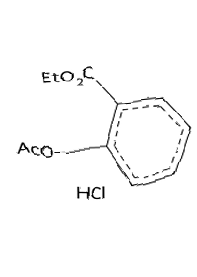 CCOC(=O)c1ccccc1OC(C)=O.Cl